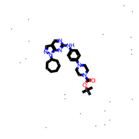 CC(C)(C)OC(=O)N1CCN(c2ccc(Nc3ncc4cnn(C5CCCCCC5)c4n3)cc2)CC1